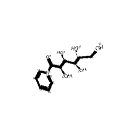 O=C([C@H](O)[C@@H](O)[C@H](O)[C@H](O)CO)[n+]1ccccc1